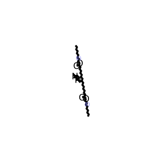 CCCCCC/C=C/COC(=O)CCCCCCCC(CCCCCCCC(=O)OC/C=C/CCCCCC)CN(C)CCN(C)C